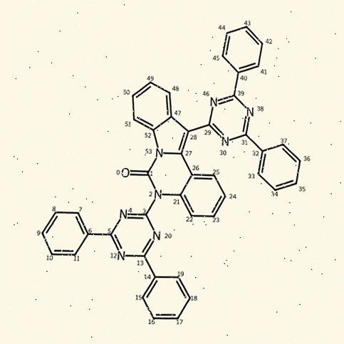 O=c1n(-c2nc(-c3ccccc3)nc(-c3ccccc3)n2)c2ccccc2c2c(-c3nc(-c4ccccc4)nc(-c4ccccc4)n3)c3ccccc3n12